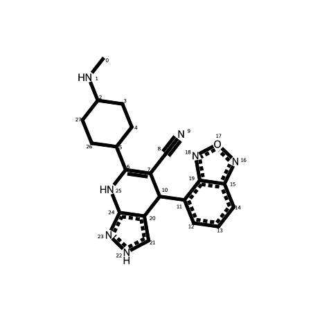 CNC1CCC(C2=C(C#N)C(c3cccc4nonc34)c3c[nH]nc3N2)CC1